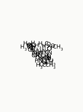 CC[C@H](NC(=O)[C@@H]1C[C@@H](Nc2nc(-n3cccn3)nc3cc(OC)c(OC)cc23)CN1C(=O)[C@@H](NC(=O)OC(C)(C)C)C(C)(C)C)B1OC2C[C@@H]3C[C@@H](C3(C)C)[C@]2(C)O1